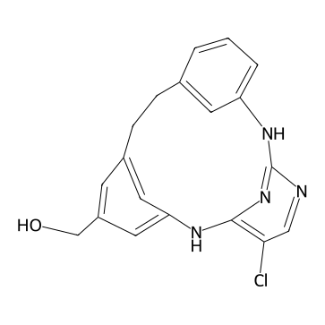 OCc1cc2cc(c1)Nc1nc(ncc1Cl)Nc1cccc(c1)CC2